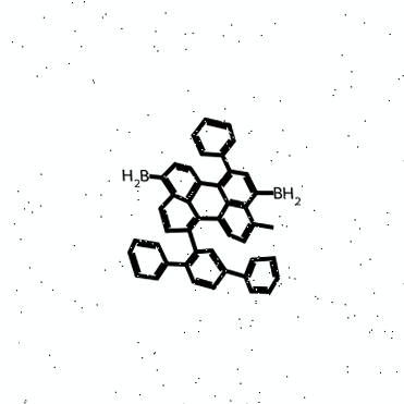 Bc1ccc2c3c(-c4ccccc4)cc(B)c4c(C)ccc(c5c(-c6cc(-c7ccccc7)ccc6-c6ccccc6)ccc1c25)c43